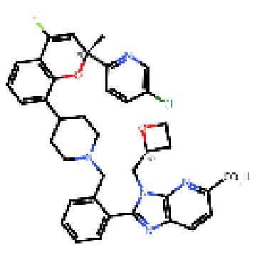 C[C@]1(c2ccc(Cl)cn2)C=C(F)c2cccc(C3CCN(Cc4ccccc4-c4nc5ccc(C(=O)O)nc5n4C[C@@H]4CCO4)CC3)c2O1